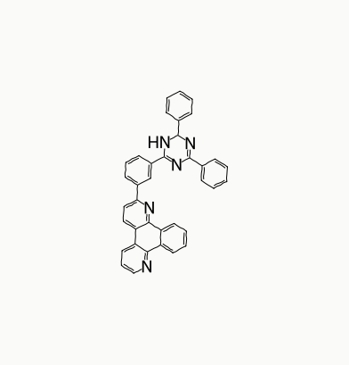 c1ccc(C2=NC(c3ccccc3)NC(c3cccc(-c4ccc5c6cccnc6c6ccccc6c5n4)c3)=N2)cc1